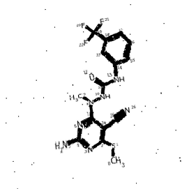 CSc1nc(N)nc(N(C)NC(=O)Nc2cccc(C(F)(F)F)c2)c1C#N